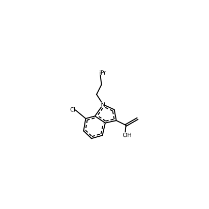 C=C(O)c1cn(CCC(C)C)c2c(Cl)cccc12